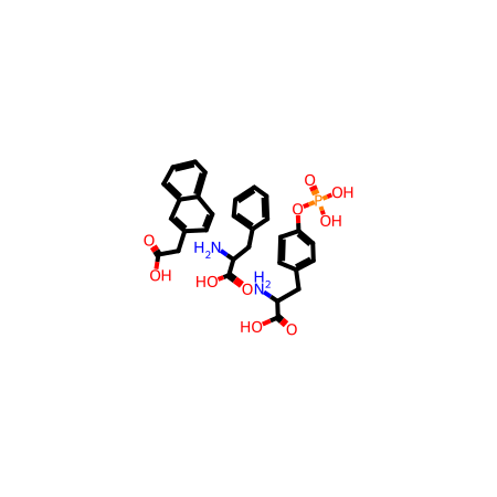 NC(Cc1ccc(OP(=O)(O)O)cc1)C(=O)O.NC(Cc1ccccc1)C(=O)O.O=C(O)Cc1ccc2ccccc2c1